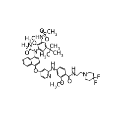 COc1cc(Nc2cc(Oc3ccc(N(C(N)=O)c4cc(C(C)(C)C)cc(NS(C)(=O)=O)c4OC)c4ccccc34)ccn2)ccc1C(=O)NCCN1CCC(F)(F)CC1